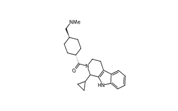 CNC[C@H]1CC[C@H](C(=O)N2CCc3c([nH]c4ccccc34)C2C2CC2)CC1